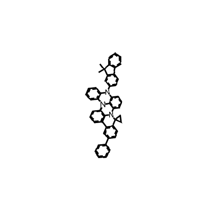 CC1(C)c2ccccc2-c2ccc(N3c4ccccc4N4c5cccc6c5N(c5cccc3c54)C3(CC3)c3ccc(-c4ccccc4)cc3-6)cc21